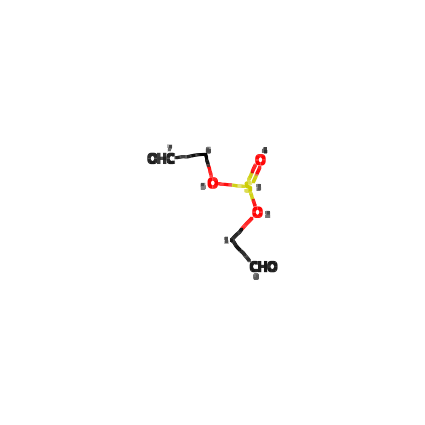 O=CCOS(=O)OCC=O